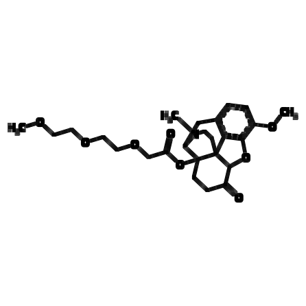 COCCOCCOCC(=O)OC12CCC(=O)C3Oc4c(OC)ccc5c4C31CCN(C)C2C5